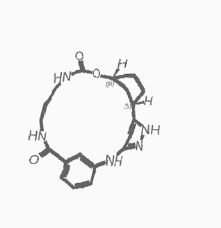 O=C1NCCCNC(=O)c2cccc(c2)Nc2cc([nH]n2)[C@H]2CC[C@H](C2)O1